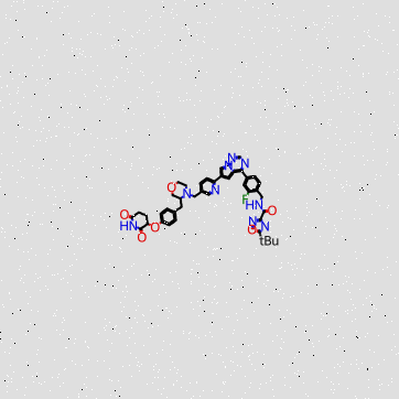 CC(C)(C)c1nc(C(=O)NCc2ccc(-c3ncnn4cc(-c5ccc(CN6CCOCC6Cc6ccc(OC7CCC(=O)NC7=O)cc6)cn5)cc34)cc2F)no1